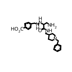 NCC(NNCc1ccc(C(=O)O)cc1)C(=O)NCC1CCN(Cc2ccccc2)CC1